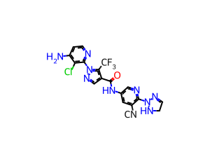 N#Cc1cc(NC(=O)c2cnn(-c3nccc(N)c3Cl)c2C(F)(F)F)cnc1N1N=CCN1